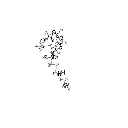 C[Si](C)(C)O[Si](C)(C)O[Si](C)(C)O[Si](C)(C)O[Si](C)(C)O[Si](C)(C)CCCNCCN